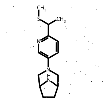 CSC(C)c1ccc(N2CC3CCC(C2)N3)cn1